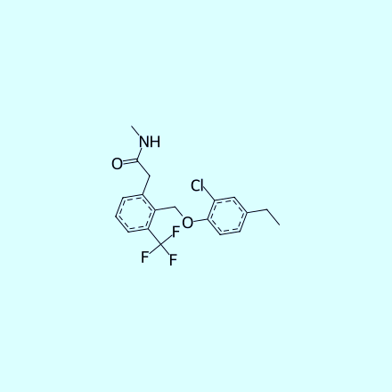 CCc1ccc(OCc2c(CC(=O)NC)cccc2C(F)(F)F)c(Cl)c1